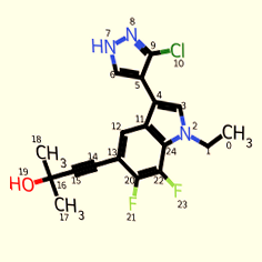 CCn1cc(-c2c[nH]nc2Cl)c2cc(C#CC(C)(C)O)c(F)c(F)c21